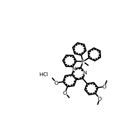 COc1ccc(-c2nc(P(C)(c3ccccc3)(c3ccccc3)c3ccccc3)nc3cc(OC)c(OC)cc23)cc1OC.Cl